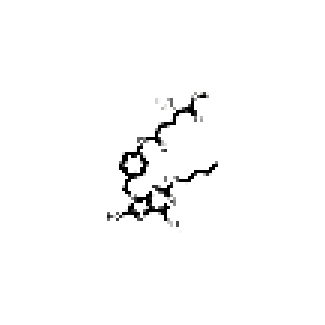 CCCCNc1nc(N)c2nc(O)n(Cc3ccc(NC(=O)CC[C@H](N)C(=O)OC)cc3)c2n1